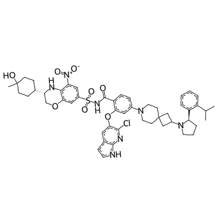 CC(C)c1ccccc1[C@H]1CCCN1C1CC2(CCN(c3ccc(C(=O)NS(=O)(=O)c4cc5c(c([N+](=O)[O-])c4)N[C@@H](C4CCC(C)(O)CC4)CO5)c(Oc4cc5cc[nH]c5nc4Cl)c3)CC2)C1